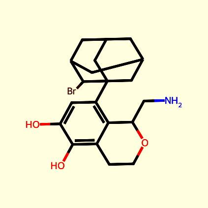 NCC1OCCc2c(O)c(O)cc(C34CC5CC(CC(C5)C3Br)C4)c21